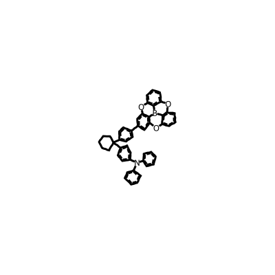 c1ccc(N(c2ccccc2)c2ccc(C3(c4ccc(-c5cc6c7c(c5)Oc5cccc8c5B7c5c(cccc5O6)O8)cc4)CCCCC3)cc2)cc1